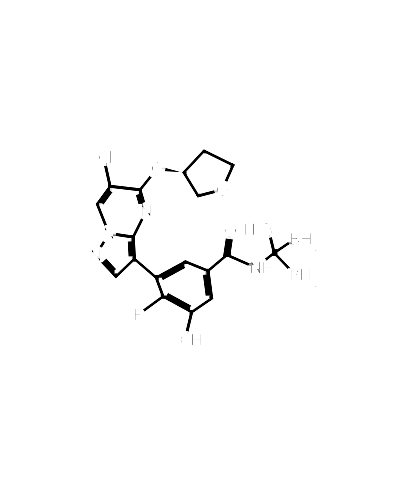 BC(B)(B)NC(=O)c1cc(C)c(F)c(-c2cnn3cc(Cl)c(O[C@H]4CCOC4)nc23)c1